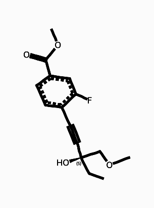 CC[C@](O)(C#Cc1ccc(C(=O)OC)cc1F)COC